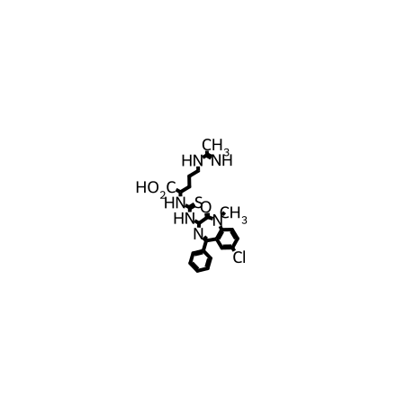 CC(=N)NCCCC(NC(=S)NC1N=C(c2ccccc2)c2cc(Cl)ccc2N(C)C1=O)C(=O)O